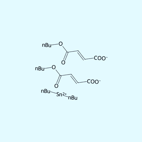 CCCCOC(=O)C=CC(=O)[O-].CCCCOC(=O)C=CC(=O)[O-].CCC[CH2][Sn+2][CH2]CCC